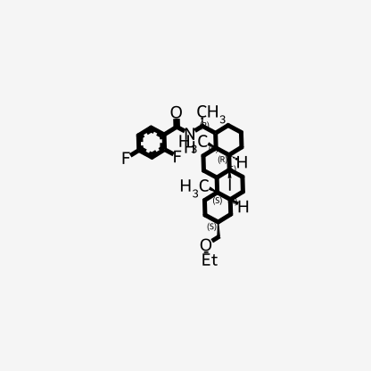 CCOC[C@H]1CC[C@]2(C)C3CC[C@]4(C)C([C@@H](C)NC(=O)c5ccc(F)cc5F)CCC[C@H]4[C@]3(I)CC[C@@H]2C1